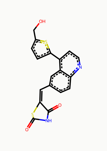 O=C1NC(=O)/C(=C\c2ccc3nccc(-c4ccc(CO)s4)c3c2)S1